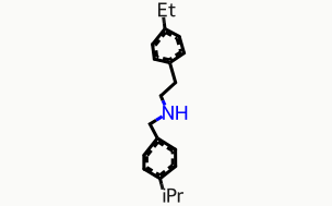 CCc1ccc(CCNCc2ccc(C(C)C)cc2)cc1